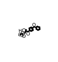 CC(O)(COS(C)(=O)=O)C(=O)c1ccc(C(=O)c2ccccc2)cc1